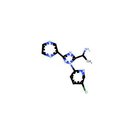 CC(N)c1nc(-c2cnccn2)nn1-c1ccc(Cl)cn1